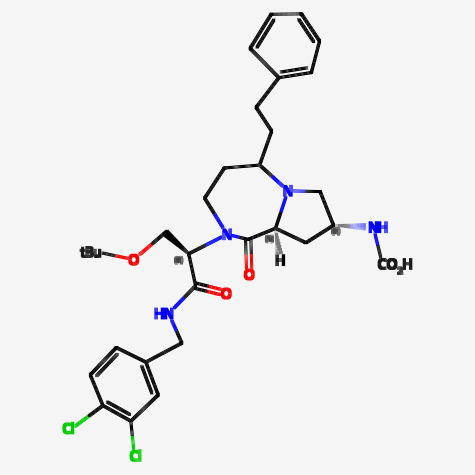 CC(C)(C)OC[C@H](C(=O)NCc1ccc(Cl)c(Cl)c1)N1CCC(CCc2ccccc2)N2C[C@H](NC(=O)O)C[C@H]2C1=O